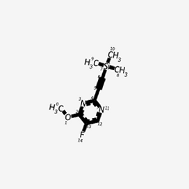 COc1nc(C#C[Si](C)(C)C)ncc1F